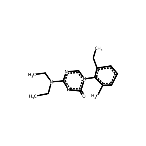 CCc1cccc(C)c1-n1cnc(N(CC)CC)nc1=O